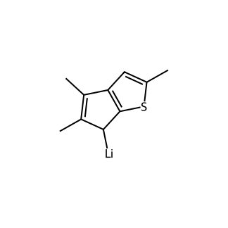 [Li][CH]1C(C)=C(C)c2cc(C)sc21